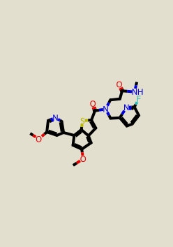 CNC(=O)CCN(Cc1cccc(F)n1)C(=O)c1cc2cc(OC)cc(-c3cncc(OC)c3)c2s1